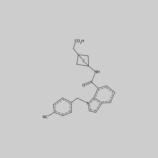 N#Cc1ccc(Cn2ccc3cccc(C(=O)NC45CC(CC(=O)O)(C4)C5)c32)cc1